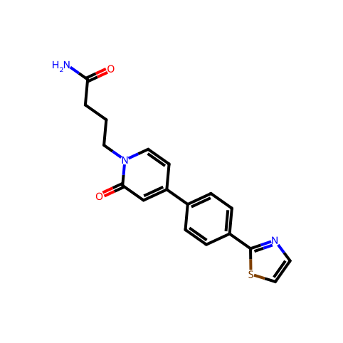 NC(=O)CCCn1ccc(-c2ccc(-c3nccs3)cc2)cc1=O